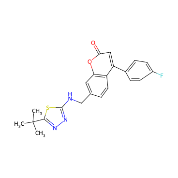 CC(C)(C)c1nnc(NCc2ccc3c(-c4ccc(F)cc4)cc(=O)oc3c2)s1